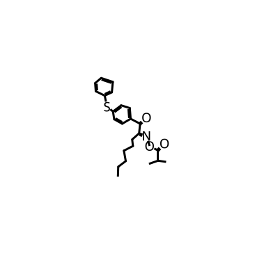 CCCCCC/C(=N\OC(=O)C(C)C)C(=O)c1ccc(Sc2ccccc2)cc1